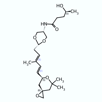 CC(/C=C/[C@@H]1C[C@]2(CO2)CC(C)(C)O1)=C\C[C@H]1OC[C@@H](NC(=O)CC[C@H](C)O)CO1